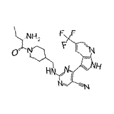 CC[C@H](N)C(=O)N1CCC(CNc2ncc(C#N)c(-c3c[nH]c4ncc(C(F)(F)F)cc34)n2)CC1